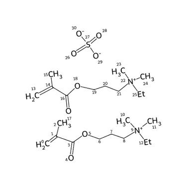 C=C(C)C(=O)OCCC[N+](C)(C)CC.C=C(C)C(=O)OCCC[N+](C)(C)CC.O=S(=O)([O-])[O-]